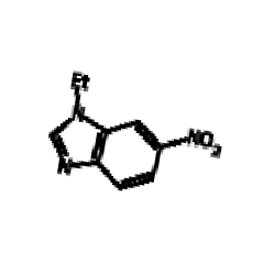 CCn1cnc2ccc([N+](=O)[O-])cc21